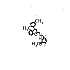 COc1cc(CNCC2CC(c3cc(C)ccc3C)c3ccccc3O2)ccc1F